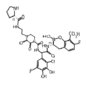 O=C(O)c1c(F)ccc2c1OB(O)[C@@H](NC(=O)C(NC(=O)N1CCN(CCNC(=O)[C@@H]3CCCN3)C(=O)C1=O)c1cc(F)c(O)c(O)c1Cl)C2